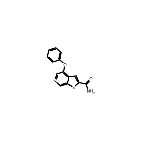 NC(=O)c1cc2c(Oc3ccccc3)cncc2s1